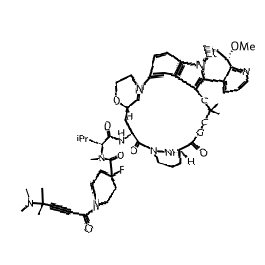 CCn1c(-c2cccnc2[C@H](C)OC)c2c3cc(ccc31)N1CCO[C@@H](C[C@H](NC(=O)[C@H](C(C)C)N(C)C(=O)C3(F)CCN(C(=O)C#CC(C)(C)N(C)C)CC3)C(=O)N3CCC[C@H](N3)C(=O)OCC(C)(C)C2)C1